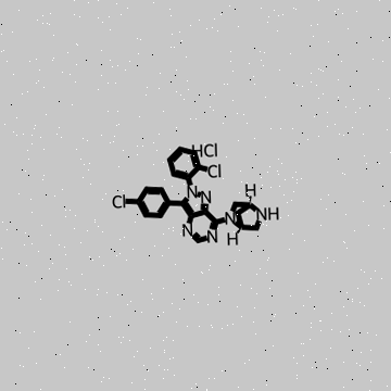 Cl.Clc1ccc(-c2c3ncnc(N4C[C@@H]5C[C@H]4CN5)c3nn2-c2ccccc2Cl)cc1